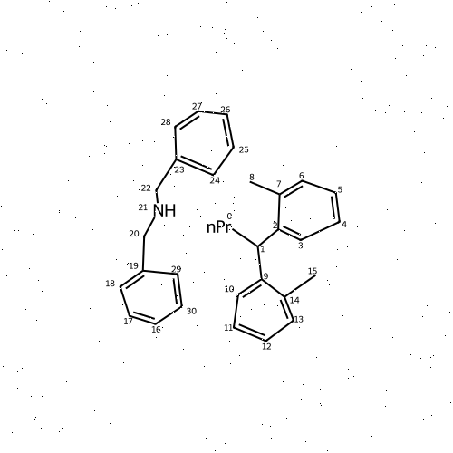 CCCC(c1ccccc1C)c1ccccc1C.c1ccc(CNCc2ccccc2)cc1